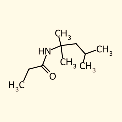 CCC(=O)NC(C)(C)CC(C)C